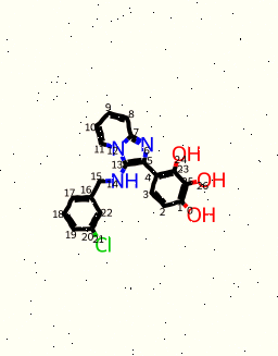 Oc1ccc(-c2nc3ccccn3c2NCc2cccc(Cl)c2)c(O)c1O